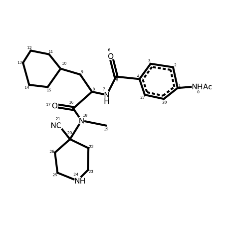 CC(=O)Nc1ccc(C(=O)NC(CC2CCCCC2)C(=O)N(C)C2(C#N)CCNCC2)cc1